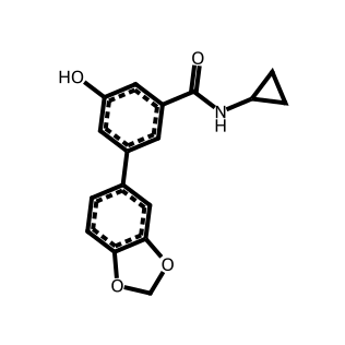 O=C(NC1CC1)c1cc(O)cc(-c2ccc3c(c2)OCO3)c1